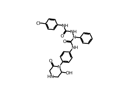 O=C(Nc1ccc(Cl)cc1)NN(C(=O)Nc1ccc(N2C(=O)CNCC2O)cc1)c1ccccc1